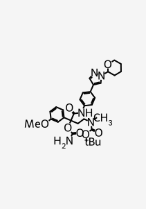 COc1cccc(C(CCN(C)C(=O)OC(C)(C)C)(OC(N)=O)C(=O)Nc2ccc(-c3cnn(C4CCCCO4)c3)cc2)c1